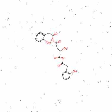 O=C(Cc1ccccc1O)OC(=O)CC(O)C(=O)OC(=O)Cc1ccccc1O